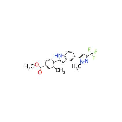 COC(=O)c1ccc(-c2cc3cc(-c4cc(C(F)(F)F)nn4C)ccc3[nH]2)c(C)c1